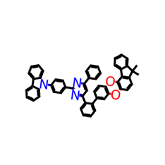 CC1(C)c2ccccc2-c2c1ccc1c2Oc2ccc(-c3ccccc3-c3cc(-c4ccccc4)nc(-c4ccc(-n5c6ccccc6c6ccccc65)cc4)n3)cc2O1